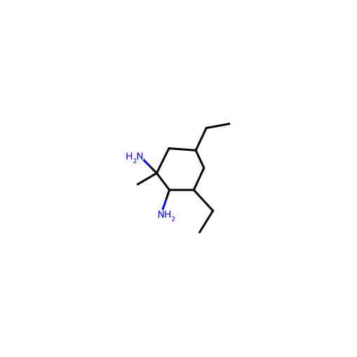 CCC1CC(CC)C(N)C(C)(N)C1